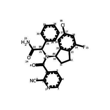 N#Cc1ncccc1C(=O)N([C@@H]1CCc2c(F)cc(Cl)cc21)[C@@H](C(N)=O)c1ccccc1